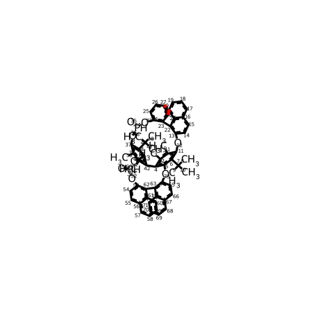 Cc1c(C)c2c3c(C(C)(C)C)c1Oc1ccc4ccccc4c1-c1c(ccc4ccccc14)O[PH](=O)Oc1c(C)c(C)c-2c(c1C(C)(C)C)O[PH](=O)Oc1ccc2ccccc2c1-c1c(ccc2ccccc12)O3